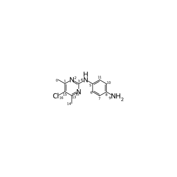 Cc1nc(Nc2ccc(N)cc2)nc(C)c1Cl